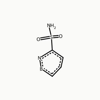 NS(=O)(=O)c1cccbn1